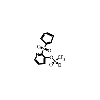 O=S(=O)(c1ccccc1)c1ncccc1OS(=O)(=O)C(F)(F)F